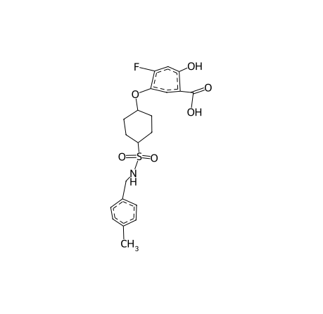 Cc1ccc(CNS(=O)(=O)C2CCC(Oc3cc(C(=O)O)c(O)cc3F)CC2)cc1